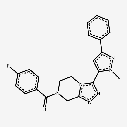 Cn1nc(-c2ccccc2)cc1-c1nnc2n1CCN(C(=O)c1ccc(F)cc1)C2